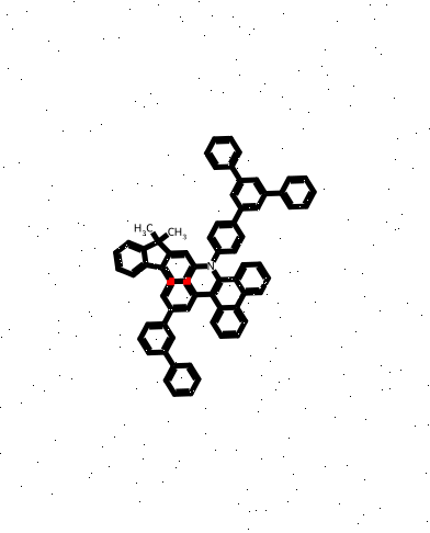 CC1(C)c2ccccc2-c2ccc(N(c3ccc(-c4cc(-c5ccccc5)cc(-c5ccccc5)c4)cc3)c3c(-c4cccc(-c5cccc(-c6ccccc6)c5)c4)c4ccccc4c4ccccc34)cc21